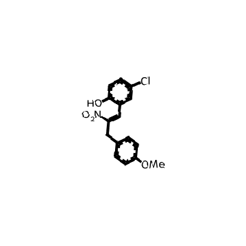 COc1ccc(CC(=Cc2cc(Cl)ccc2O)[N+](=O)[O-])cc1